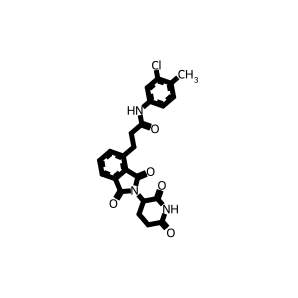 Cc1ccc(NC(=O)CCc2cccc3c2C(=O)N(C2CCC(=O)NC2=O)C3=O)cc1Cl